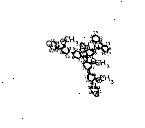 COc1cc(-c2ccc(N(c3ccc(-n4c5ccccc5c5ccccc54)cc3)c3ccc(-c4ccc(N5CCOCC5)c(OC)c4)cc3OC)c(OC)c2)ccc1N1CCOCC1